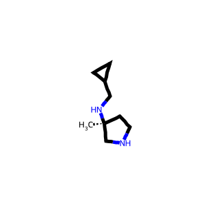 C[C@]1(NCC2CC2)CCNC1